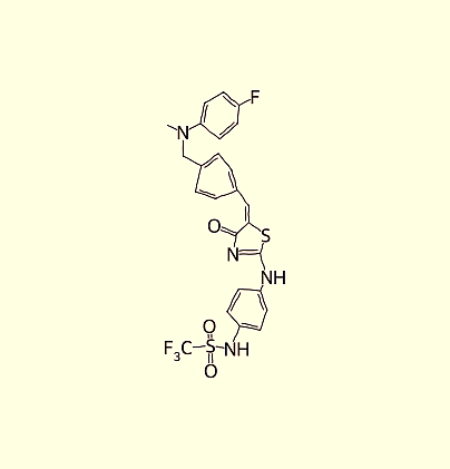 CN(Cc1ccc(C=C2SC(Nc3ccc(NS(=O)(=O)C(F)(F)F)cc3)=NC2=O)cc1)c1ccc(F)cc1